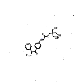 C=C(C(=O)c1ccc(/C=C/C(=O)OCC(CO)(CO)CO)cc1)c1ccccc1